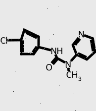 CN(C(=O)Nc1ccc(Cl)cc1)c1cccnc1